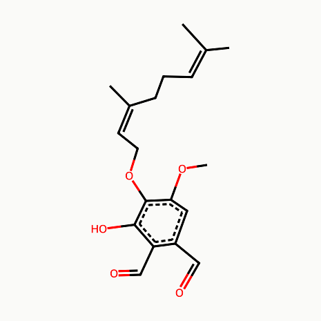 COc1cc(C=O)c(C=O)c(O)c1OCC=C(C)CCC=C(C)C